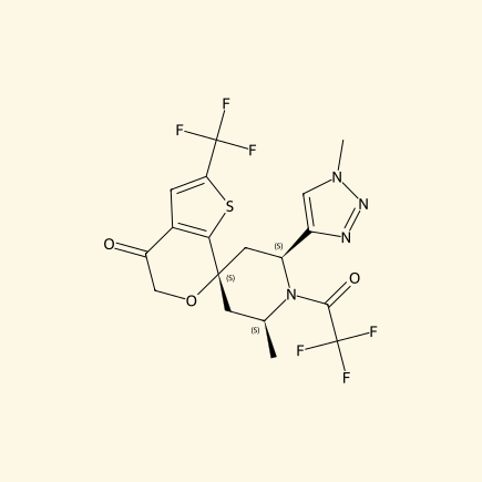 C[C@H]1C[C@@]2(C[C@@H](c3cn(C)nn3)N1C(=O)C(F)(F)F)OCC(=O)c1cc(C(F)(F)F)sc12